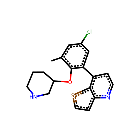 Cc1cc(Cl)cc(-c2ccnc3ccsc23)c1OC1CCCNC1